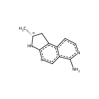 C[C@@H]1Cc2c(ncc3c(N)nccc23)N1